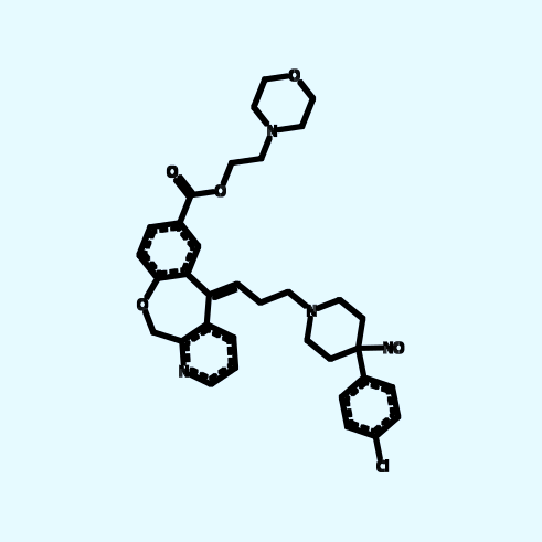 O=NC1(c2ccc(Cl)cc2)CCN(CC/C=C2/c3cc(C(=O)OCCN4CCOCC4)ccc3OCc3ncccc32)CC1